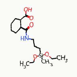 CCO[Si](C)(CCCNC(=O)C1CCCCC1C(=O)O)OCC